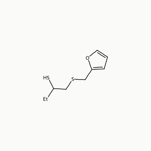 CCC(S)CSCc1ccco1